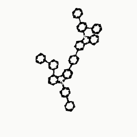 c1ccc(-c2ccc(-n3c4ccc(-c5ccc(-c6ccc7c(c6)c6ccccc6n7-c6ccc(-c7ccccc7)cc6-c6ccccc6)cc5)cc4c4c(-c5cccc(-c6ccccc6)c5)cccc43)cc2)cc1